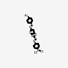 CCN(CC)c1ccc(N=Nc2nc3sc(N=Nc4ccc(C(C)=O)cc4)cc3s2)cc1